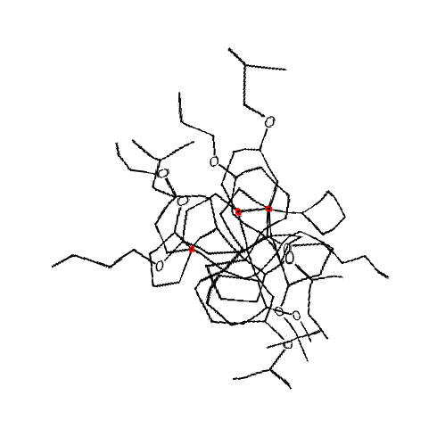 CCCCOC1CCCC(C2(C3(C4CCC4)CCCC(OCC(C)C)C3)CC2)(C2(C3(C4(C5(C6(C7(C8(C9CCCC9OCCCC)CCCC(OC)C8)CCCC7OCC(C)C)CCCC(OCC)C6)CCCC5OC(C)CC)CCCC(OCCC)C4)CCCC3OC(C)(C)C)CCCC(OC(C)C)C2)C1